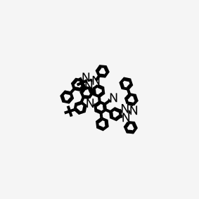 CC(C)(C)c1ccc2c(c1)c1cc(C(C)(C)C)ccc1n2-c1cc(-c2ccccc2)c(-c2ccc3c(c2)n2c4cc(-c5ccccc5)ccc4nc2n3-c2ccccc2)c(C#N)c1-c1ccc2c(c1)n1c3cc(-c4ccccc4)ccc3nc1n2-c1ccccc1